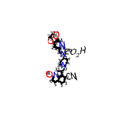 N#Cc1ccc2ccc(=O)n3c2c1C(CN1CCC(N(Cc2cc4c(cn2)OCCO4)C(=O)O)CC1)C3